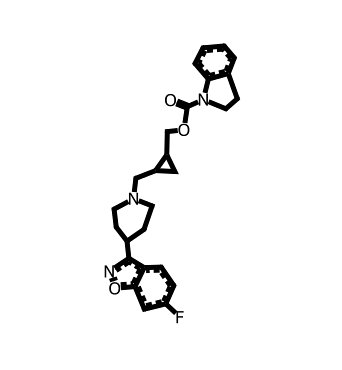 O=C(OCC1CC1CN1CCC(c2noc3cc(F)ccc23)CC1)N1CCc2ccccc21